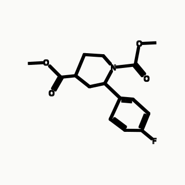 COC(=O)C1CCN(C(=O)OC)C(c2ccc(F)cc2)C1